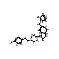 Fc1ccc(CCN2CCC(N3CCc4ccc(Cn5ccnc5)cc43)CC2)cc1